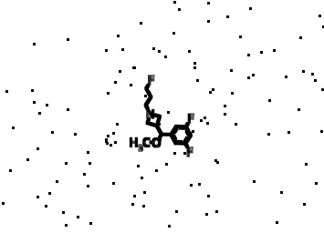 COC(c1cc(F)cc(F)c1)C1CN(CCCF)C1